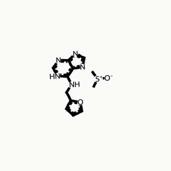 C[S+](C)[O-].c1coc(CNc2[nH]cnc3ncnc2-3)c1